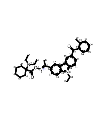 CCN(CC)C1(C(=O)O/N=C(\C)c2ccc3c(c2)c2cc(C(=O)c4ccccc4C)ccc2n3CC)CCCCC1